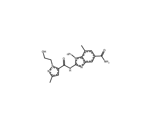 CCCn1c(NC(=O)c2cc(C)nn2CCO)nc2cc(C(N)=O)cc(C)c21